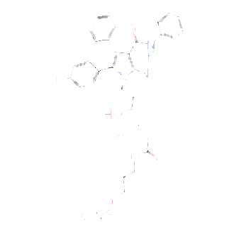 CC(C)c1c(C(=O)Nc2ccccc2)c(-c2ccccc2)c(-c2ccc(F)cc2)n1CCC(O)CC(O)CC(=O)OCCCCO[N+](=O)[O-]